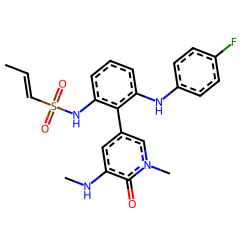 C/C=C/S(=O)(=O)Nc1cccc(Nc2ccc(F)cc2)c1-c1cc(NC)c(=O)n(C)c1